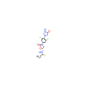 CC(=S)NC[C@H]1CN(c2cc(F)c(N3CNC(=O)C3)c(F)c2)C(=O)O1